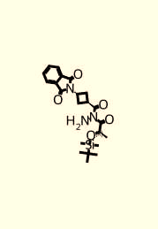 C[C@@H](O[Si](C)(C)C(C)(C)C)C(=O)N(N)C(=O)[C@H]1C[C@H](N2C(=O)c3ccccc3C2=O)C1